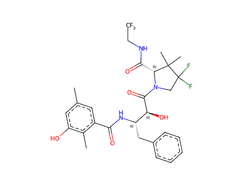 Cc1cc(O)c(C)c(C(=O)N[C@@H](Cc2ccccc2)[C@H](O)C(=O)N2CC(F)(F)C(C)(C)[C@H]2C(=O)NCC(F)(F)F)c1